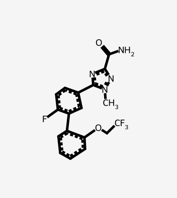 Cn1nc(C(N)=O)nc1-c1ccc(F)c(-c2ccccc2OCC(F)(F)F)c1